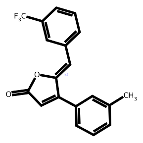 Cc1cccc(C2=CC(=O)O/C2=C\c2cccc(C(F)(F)F)c2)c1